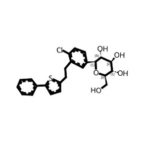 OC[C@H]1O[C@@H](c2ccc(Cl)c(CCc3ccc(-c4ccccc4)s3)c2)[C@H](O)[C@@H](O)[C@@H]1O